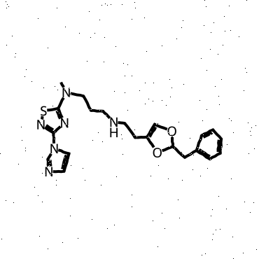 CN(CCCNCCC1=COC(Cc2ccccc2)O1)c1nc(-n2ccnc2)ns1